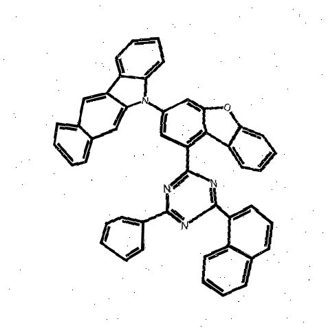 c1ccc(-c2nc(-c3cccc4ccccc34)nc(-c3cc(-n4c5ccccc5c5cc6ccccc6cc54)cc4oc5ccccc5c34)n2)cc1